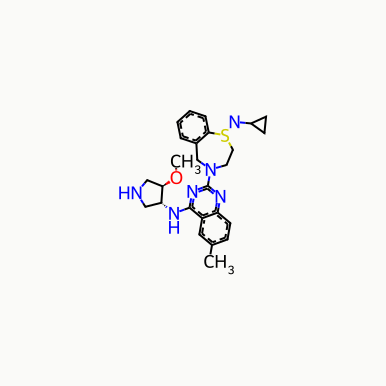 CO[C@@H]1CNC[C@H]1Nc1nc(N2CCS(=NC3CC3)c3ccccc3C2)nc2ccc(C)cc12